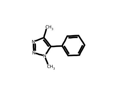 Cc1nnn(C)c1-c1ccccc1